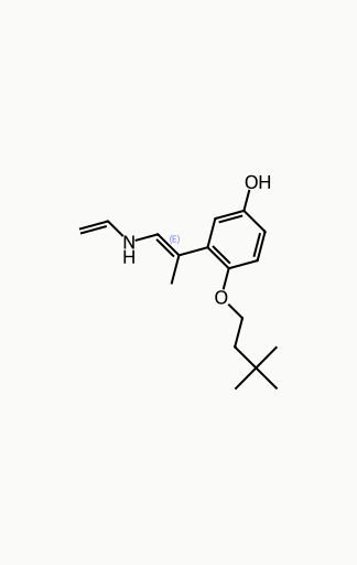 C=CN/C=C(\C)c1cc(O)ccc1OCCC(C)(C)C